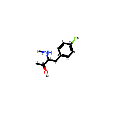 CNC(Cc1ccc(F)cc1)C(C)=O